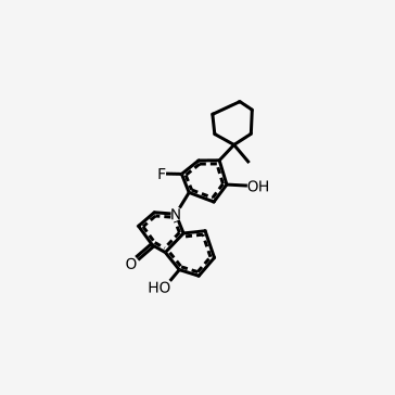 CC1(c2cc(F)c(-n3ccc(=O)c4c(O)cccc43)cc2O)CCCCC1